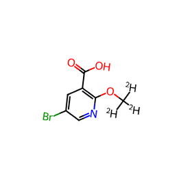 [2H]C([2H])([2H])Oc1ncc(Br)cc1C(=O)O